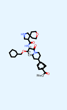 COC(=O)c1ccc(C2CCN(C(=O)[C@@H](NC(=O)C3CNCC34CCOCC4)[C@@H](C)OCC3CCCCC3)CC2)cc1